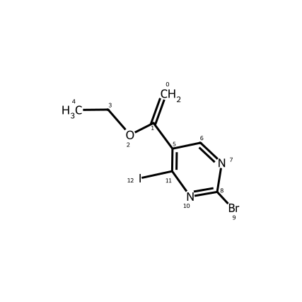 C=C(OCC)c1cnc(Br)nc1I